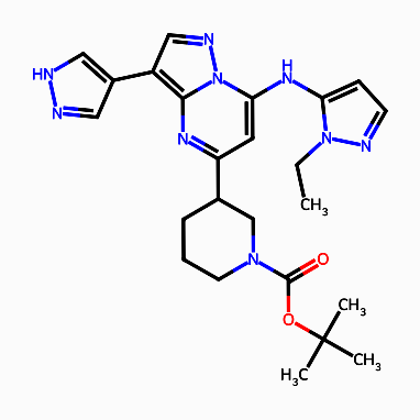 CCn1nccc1Nc1cc(C2CCCN(C(=O)OC(C)(C)C)C2)nc2c(-c3cn[nH]c3)cnn12